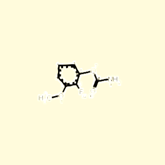 COc1cccc(OC(N)=O)c1F